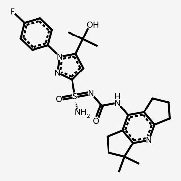 CC(C)(O)c1cc([S@](N)(=O)=NC(=O)Nc2c3c(nc4c2CCC4(C)C)CCC3)nn1-c1ccc(F)cc1